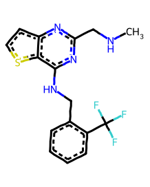 CNCc1nc(NCc2ccccc2C(F)(F)F)c2sccc2n1